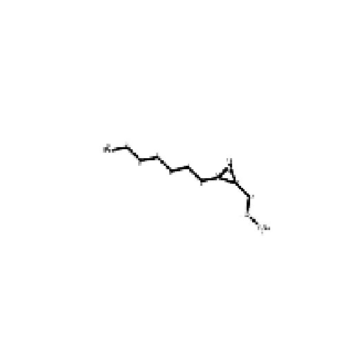 CCCCOCC1NC1CCCCCCC(C)C